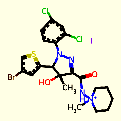 CC1(O)C(C(=O)N[N+]2(C)CCCCC2)=NN(c2ccc(Cl)cc2Cl)C1c1cc(Br)cs1.[I-]